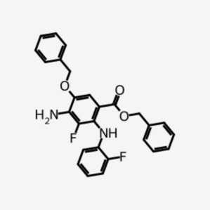 Nc1c(OCc2ccccc2)cc(C(=O)OCc2ccccc2)c(Nc2ccccc2F)c1F